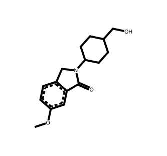 COc1ccc2c(c1)C(=O)N(C1CCC(CO)CC1)C2